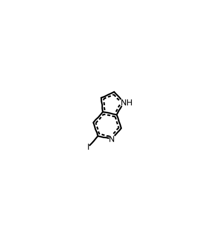 Ic1cc2cc[nH]c2cn1